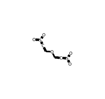 O=S(=O)=C=COC=C=S(=O)=O